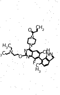 C=CC(=O)N1CCN(c2nc(OCCN(CC)CC)nc3c(F)c(-c4c(C)ccc5cn[nH]c45)c(Cl)cc23)CC1